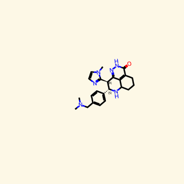 CN(C)Cc1ccc([C@H]2NC3CCCc4c3c(n[nH]c4=O)[C@@H]2c2nccn2C)cc1